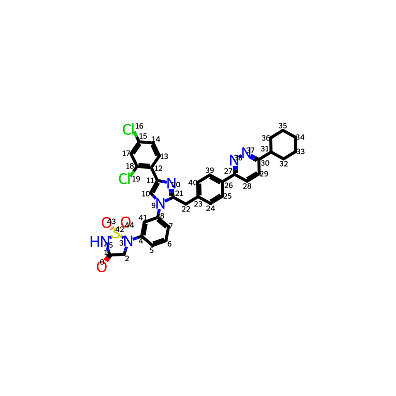 O=C1CN(c2cccc(-n3cc(-c4ccc(Cl)cc4Cl)nc3Cc3ccc(-c4ccc(C5CCCCC5)nn4)cc3)c2)S(=O)(=O)N1